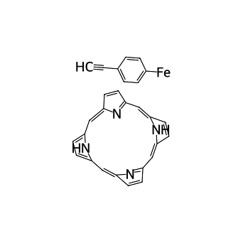 C#Cc1cc[c]([Fe])cc1.C1=Cc2cc3ccc(cc4nc(cc5ccc(cc1n2)[nH]5)C=C4)[nH]3